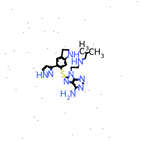 CC(C)CNCCn1c(Sc2cc3c(cc2-c2cc[nH]n2)CCN3)nc2c(N)ncnc21